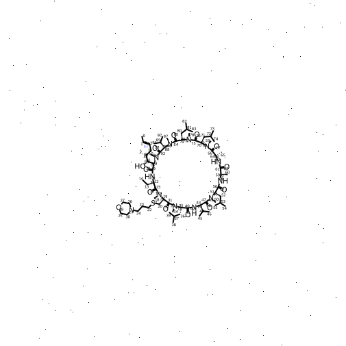 C/C=C/C[C@@H](C)[C@@H](O)[C@@H]1C(=O)N[C@H](CC)C(=O)N(C)[C@H](CSCCCN2CCOCC2)C(=O)N(C)[C@@H](CC(C)C)C(=O)N[C@H](C(C)C)C(=O)N(C)[C@H](CC(C)C)C(=O)N[C@H](C)C(=O)N[C@@H](C)C(=O)N(C)[C@H](CC(C)C)C(=O)N(C)[C@H](CC(C)C)C(=O)N(C)[C@H](C(C)C)C(=O)N1C